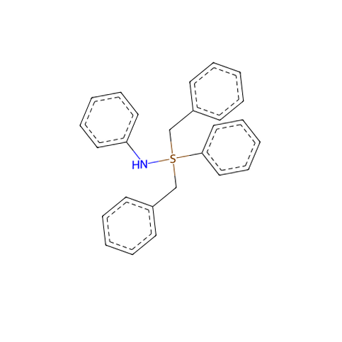 c1ccc(CS(Cc2ccccc2)(Nc2ccccc2)c2ccccc2)cc1